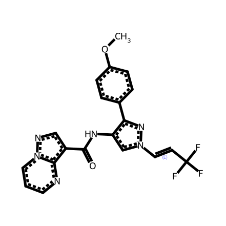 COc1ccc(-c2nn(/C=C/C(F)(F)F)cc2NC(=O)c2cnn3cccnc23)cc1